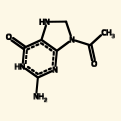 CC(=O)N1CNc2c1nc(N)[nH]c2=O